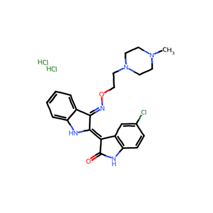 CN1CCN(CCO/N=C2/C(=C3/C(=O)Nc4ccc(Cl)cc43)Nc3ccccc32)CC1.Cl.Cl